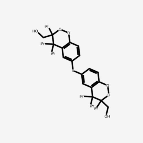 CC(C)C1(CO)OOc2ccc(Sc3ccc4c(c3)C(C(C)C)(C(C)C)C(CO)(C(C)C)OO4)cc2C1(C(C)C)C(C)C